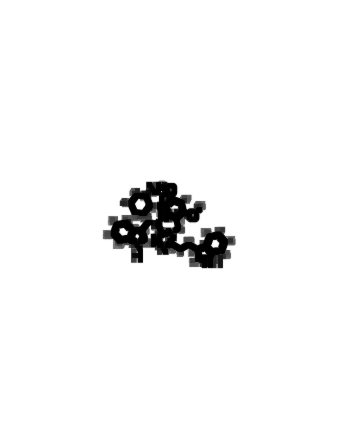 COc1ccc(Cn2c(CCc3c[nH]c4ccccc34)nnc2[C@@H](Cc2c[nH]c3ccccc23)NC(=O)[C@@H]2CCCC[C@H]2N)c(OC)c1